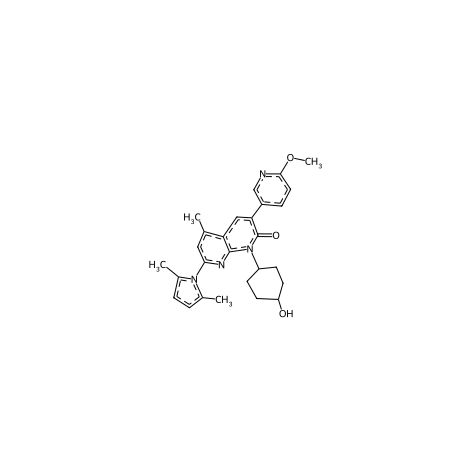 COc1ccc(-c2cc3c(C)cc(-n4c(C)ccc4C)nc3n(C3CCC(O)CC3)c2=O)cn1